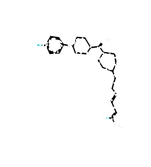 C=C(C1CCC(CCC=CC=C(F)C#N)CC1)C1CCC(c2ccc(F)cc2)CC1